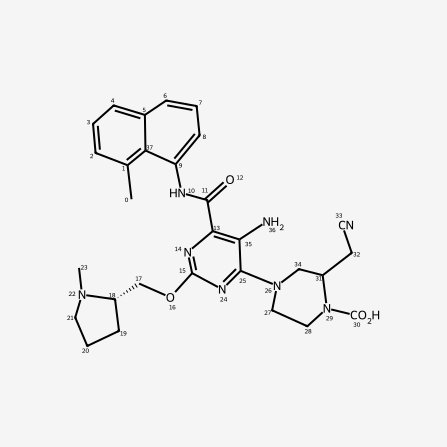 Cc1cccc2cccc(NC(=O)c3nc(OC[C@@H]4CCCN4C)nc(N4CCN(C(=O)O)C(CC#N)C4)c3N)c12